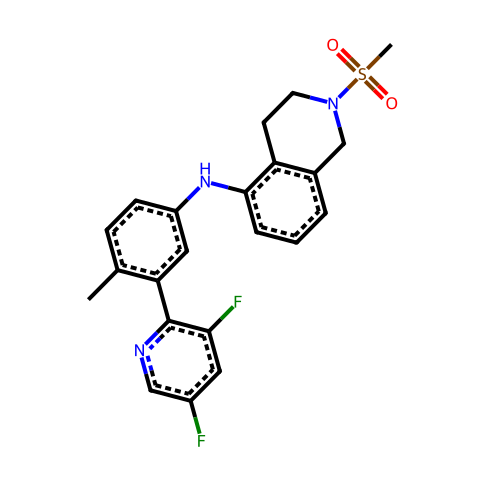 Cc1ccc(Nc2cccc3c2CCN(S(C)(=O)=O)C3)cc1-c1ncc(F)cc1F